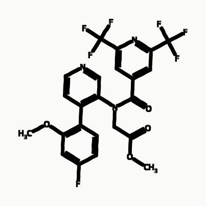 COC(=O)CN(C(=O)c1cc(C(F)(F)F)nc(C(F)(F)F)c1)c1cnccc1-c1ccc(F)cc1OC